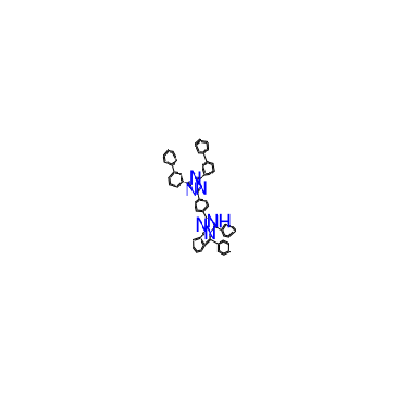 c1ccc(-c2cccc(-c3nc(-c4ccc(C5=Nc6c7ccccc7c(-c7ccccc7)n6C(c6ccccc6)N5)cc4)nc(-c4cccc(-c5ccccc5)c4)n3)c2)cc1